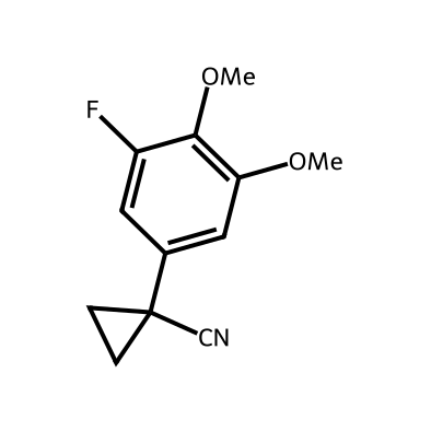 COc1cc(C2(C#N)CC2)cc(F)c1OC